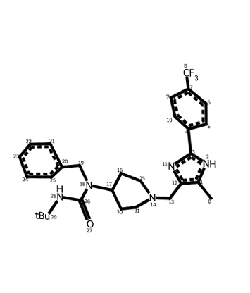 Cc1[nH]c(-c2ccc(C(F)(F)F)cc2)nc1CN1CCC(N(Cc2ccccc2)C(=O)NC(C)(C)C)CC1